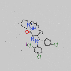 CC[C@@H]1C(C(=O)N[N+]2(C)CCCCC2)=NN(c2ccc(Cl)cc2Cl)[C@H]1c1ccc(Cl)cc1.[I-]